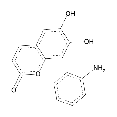 Nc1ccccc1.O=c1ccc2cc(O)c(O)cc2o1